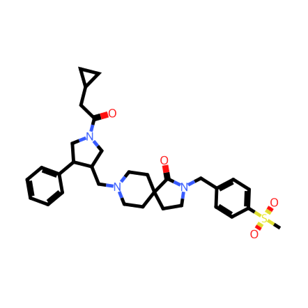 CS(=O)(=O)c1ccc(CN2CCC3(CCN(CC4CN(C(=O)CC5CC5)CC4c4ccccc4)CC3)C2=O)cc1